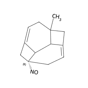 CC12CC=C3C[C@]4(N=O)CC=C(C1)C2C34